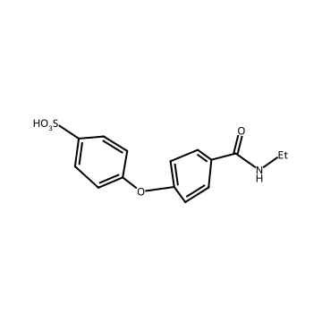 CCNC(=O)c1ccc(Oc2ccc(S(=O)(=O)O)cc2)cc1